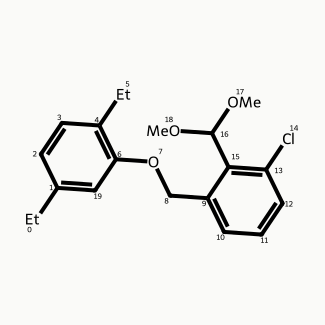 CCc1ccc(CC)c(OCc2cccc(Cl)c2C(OC)OC)c1